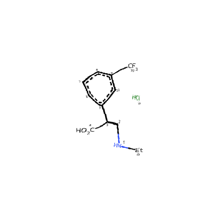 CCNCC(C(=O)O)c1cccc(C(F)(F)F)c1.Cl